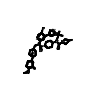 COc1ccc(C23CCC(CN(c4cc(-c5cnn(C(C)(C)C)c5)c(F)cn4)C(=O)[C@H]4CC[C@H](OC(=O)N5CC(C)C5)CC4)(CC2)CC3)cc1C